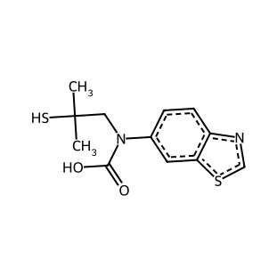 CC(C)(S)CN(C(=O)O)c1ccc2ncsc2c1